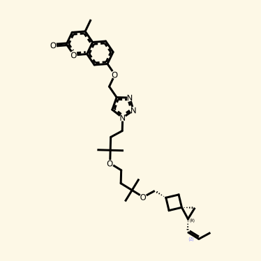 C/C=C\[C@H]1C[C@]12C[C@@H](COC(C)(C)CCOC(C)(C)CCn1cc(COc3ccc4c(C)cc(=O)oc4c3)nn1)C2